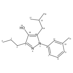 CCCc1nn(-c2cccc(C)c2)c(CC(C)C)c1O